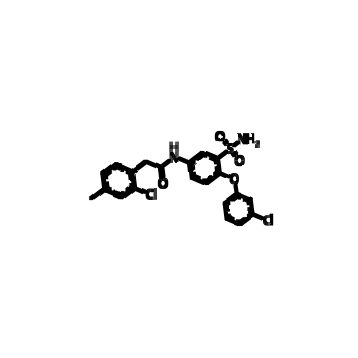 Cc1ccc(CC(=O)Nc2ccc(Oc3cccc(Cl)c3)c(S(N)(=O)=O)c2)c(Cl)c1